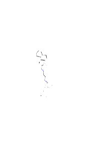 C[N+]1=C(/C=C/C=C/C=C2\SCCN2CCOC=O)C(C)(C)c2c1ccc1ccccc21